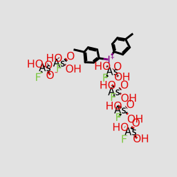 Cc1ccc([I+]c2ccc(C)cc2)cc1.O=[As](O)(O)F.O=[As](O)(O)F.O=[As](O)(O)F.O=[As](O)(O)F.O=[As](O)(O)F.O=[As]([O-])(O)F